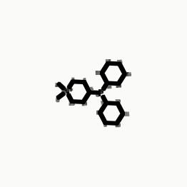 C[N+]1(C)CCC(P(C2CCCCC2)C2CCCCC2)CC1